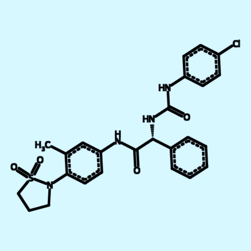 Cc1cc(NC(=O)[C@H](NC(=O)Nc2ccc(Cl)cc2)c2ccccc2)ccc1N1CCCS1(=O)=O